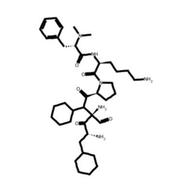 CN(C)[C@@H](Cc1ccccc1)C(=O)N[C@@H](CCCCN)C(=O)N1CCC[C@H]1C(=O)C(C1CCCCC1)[C@](N)([C]=O)C(=O)[C@H](N)CC1CCCCC1